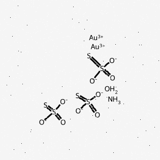 N.O.O=S([O-])([O-])=S.O=S([O-])([O-])=S.O=S([O-])([O-])=S.[Au+3].[Au+3]